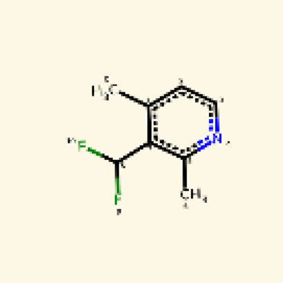 Cc1ccnc(C)c1C(F)F